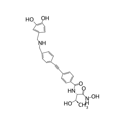 C[C@@H](O)[C@H](NC(=O)c1ccc(C#Cc2ccc(CNCc3ccc(O)c(O)c3)cc2)cc1)C(=O)NO